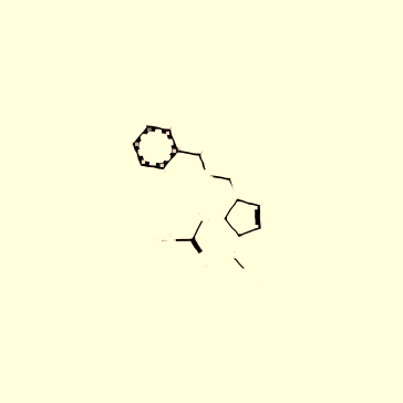 CCOC(=O)C[C@H]1C=C[C@H](COCc2ccccc2)[C@H]1CC(=O)OC